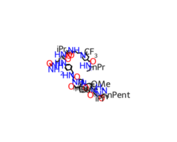 C/C=C(/CCC)NC(=O)C1CCN(CCCC(=O)N[C@H](C(=O)N[C@@H](CCCNC(N)=O)C(=O)Nc2ccc(CNC(=O)CNC(=O)[C@H](C)[C@@H](OC)[C@@H]3CCCN3C(=O)C[C@@H](OC)[C@H]([C@@H](C)CC)N(C)C(=O)[C@@H](NC(=O)[C@H](C(C)CCCCC)N(C)C)C(C)C)cc2)C(C)C)C(C(F)(F)F)C1